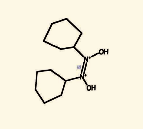 O/[N+](C1CCCCC1)=[N+](\O)C1CCCCC1